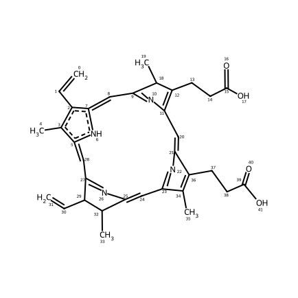 C=Cc1c(C)/c2[nH]/c1=C\C1=NC(=C(CCC(=O)O)C1C)/C=C1N=C(/C=C3N=C(/C=2)C(C=C)C\3C)C(C)=C\1CCC(=O)O